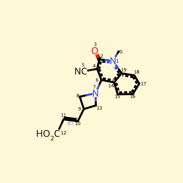 Cn1c(=O)c(C#N)c(N2CC(/C=C/C(=O)O)C2)c2ccccc21